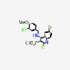 CCOC(=O)c1c(Cl)nc2ccc(Br)cc2c1NCc1ccc(OC)c(Cl)c1